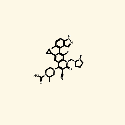 Cc1ccc2[nH]ncc2c1-c1c(C2CC2)cc2c(N3CCN(C(=O)O)[C@H](C)C3)c(C#N)c(=O)n(C[C@@H]3CCCN3C)c2c1F